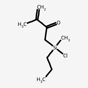 C=C(C)C(=O)C[Si](C)(Cl)CCC